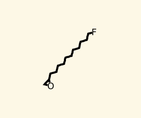 FCCCCCCCCCCCC1CO1